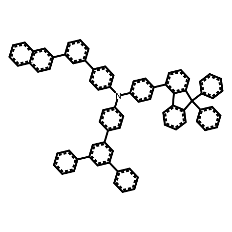 c1ccc(-c2cc(-c3ccccc3)cc(-c3ccc(N(c4ccc(-c5cccc(-c6ccc7ccccc7c6)c5)cc4)c4ccc(-c5cccc6c5-c5ccccc5C6(c5ccccc5)c5ccccc5)cc4)cc3)c2)cc1